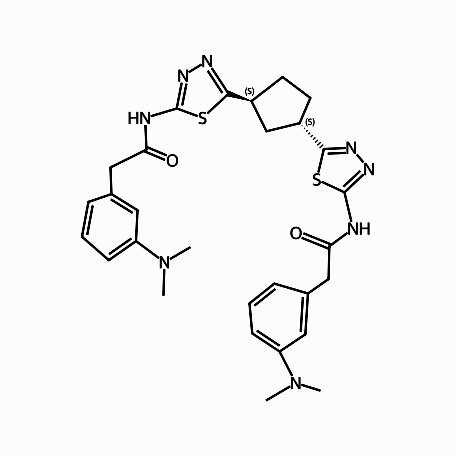 CN(C)c1cccc(CC(=O)Nc2nnc([C@H]3CC[C@H](c4nnc(NC(=O)Cc5cccc(N(C)C)c5)s4)C3)s2)c1